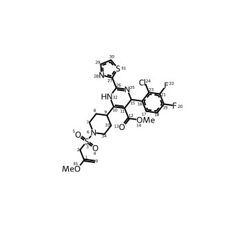 C=C(CS(=O)(=O)N1CCC(C2=C(C(=O)OC)C(c3ccc(F)c(F)c3Cl)N=C(c3nccs3)N2)CC1)OC